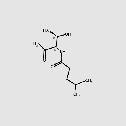 CC(C)CCC(=O)N[C@H](C(N)=O)[C@@H](C)O